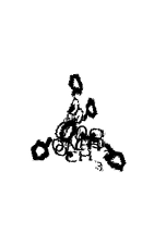 CC(=O)N[C@@H]1[C@@H](OCc2ccccc2)O[C@H](COCc2ccccc2)[C@@H](OCc2ccccc2)[C@@H]1O[C@H](C)C(=O)OCc1ccccc1